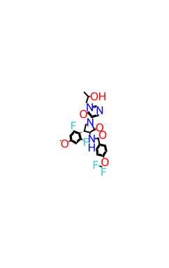 COc1cc(F)c([C@@H]2CN(c3cncn(CC(C)O)c3=O)C(=O)[C@H]2NC(=O)c2ccc(OC(F)F)cc2)c(F)c1